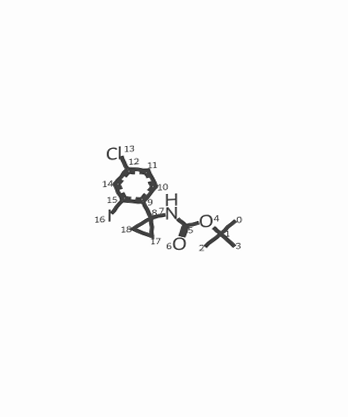 CC(C)(C)OC(=O)NC1(c2ccc(Cl)cc2I)CC1